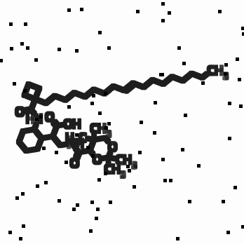 CCCCCCCCC=CCCCCCCCCC1(C(=O)NC2CCCCC2C(CNC(=O)C2OC(C)(C)OCC2(C)C)C(=O)O)CCC1